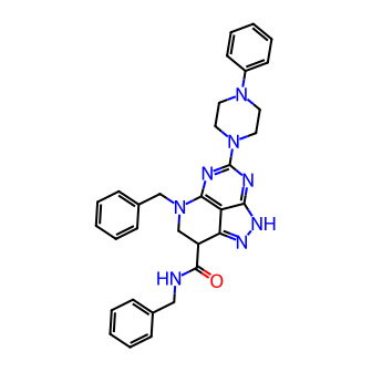 O=C(NCc1ccccc1)C1CN(Cc2ccccc2)c2nc(N3CCN(c4ccccc4)CC3)nc3[nH]nc1c23